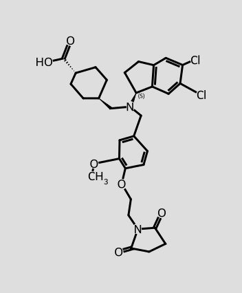 COc1cc(CN(C[C@H]2CC[C@H](C(=O)O)CC2)[C@H]2CCc3cc(Cl)c(Cl)cc32)ccc1OCCN1C(=O)CCC1=O